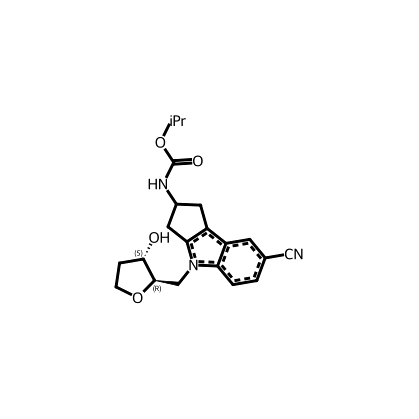 CC(C)OC(=O)NC1Cc2c(n(C[C@H]3OCC[C@@H]3O)c3ccc(C#N)cc23)C1